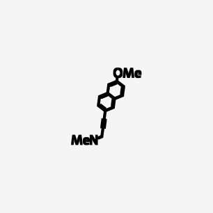 CNCC#Cc1ccc2cc(OC)ccc2c1